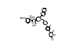 COC1=CC=CC(N)(C(=O)NC2(CCO)CCC(c3ncc4nccnc4n3)N(CC3CCN(c4ccc(C5CCC(=O)NC5=O)cc4F)CC3)CC2)C1